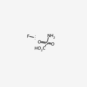 NS(=O)(=O)C(=O)O.[C]F